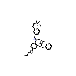 CCCOc1ccc(/C(=C/c2ccc3c(c2)C=CC(C)(C)O3)COC)c(OCc2ccccc2)c1